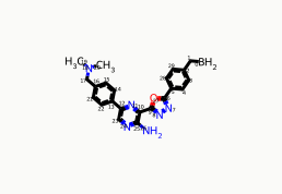 BCc1ccc(-c2nnc(-c3nc(-c4ccc(CN(C)C)cc4)cnc3N)o2)cc1